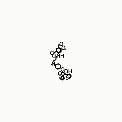 COc1cc(NC(=O)CCN(C)C2CCC(OC(=O)C(O)(c3cccs3)c3cccs3)CC2)c(Cl)cc1C=O